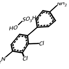 Nc1ccc(-c2ccc(N)c(Cl)c2Cl)cc1.O=S(=O)(O)O